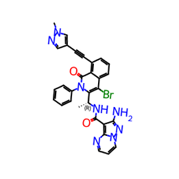 C[C@@H](NC(=O)c1c(N)nn2cccnc12)c1c(Br)c2cccc(C#Cc3cnn(C)c3)c2c(=O)n1-c1ccccc1